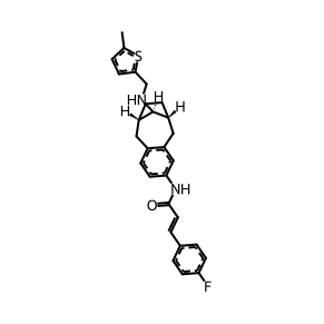 Cc1ccc(CN[C@H]2[C@@H]3CC[C@H]2Cc2ccc(NC(=O)/C=C/c4ccc(F)cc4)cc2C3)s1